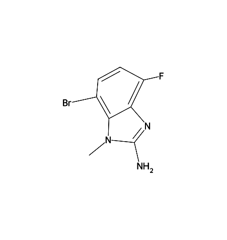 Cn1c(N)nc2c(F)ccc(Br)c21